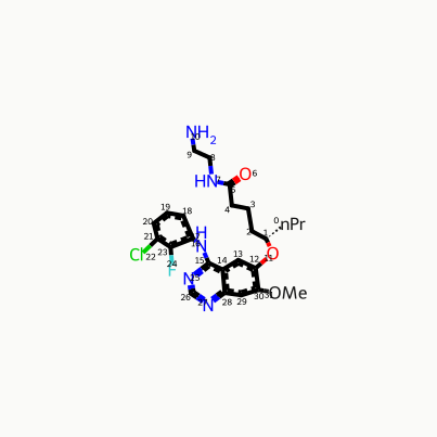 CCC[C@@H](CCCC(=O)NCCN)Oc1cc2c(Nc3cccc(Cl)c3F)ncnc2cc1OC